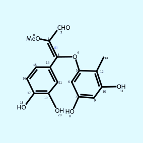 CO/C(C=O)=C(/Oc1cc(O)cc(O)c1C)c1ccc(O)c(O)c1